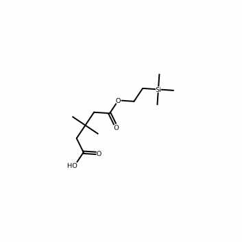 CC(C)(CC(=O)O)CC(=O)OCC[Si](C)(C)C